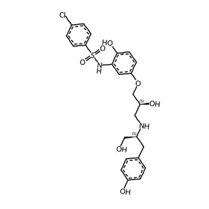 O=S(=O)(Nc1cc(OC[C@@H](O)CN[C@H](CO)Cc2ccc(O)cc2)ccc1O)c1ccc(Cl)cc1